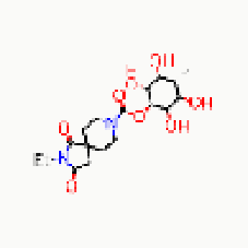 CCN1C(=O)CC2(CCN(C(=O)O[C@@H]3C(O)C(O)[C@@H](C)C(O)[C@H]3O)CC2)C1=O